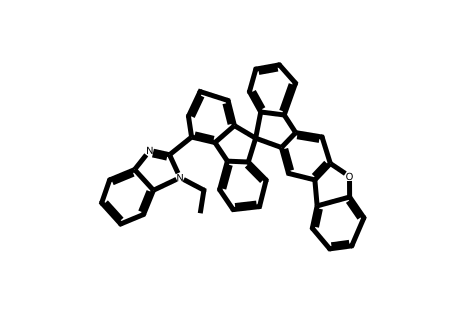 CCn1c(-c2cccc3c2-c2ccccc2C32c3ccccc3-c3cc4oc5ccccc5c4cc32)nc2ccccc21